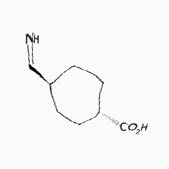 N=C[C@H]1CC[C@H](C(=O)O)CC1